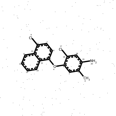 Cc1cc(Oc2ccc(Cl)c3ccccc23)c(Cl)cc1N